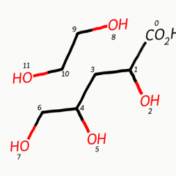 O=C(O)C(O)CC(O)CO.OCCO